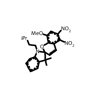 COc1cc([N+](=O)[O-])c([N+](=O)[O-])c2c1OC1(C=C2)N(CCC(C)C)c2ccccc2C1(C)C